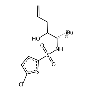 C=CCC(O)C(NS(=O)(=O)c1ccc(Cl)s1)[C@@H](C)CC